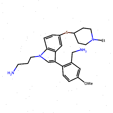 CCN1CCC(Sc2ccc3c(c2)c(-c2ccc(OC)cc2CN)cn3CCCN)CC1